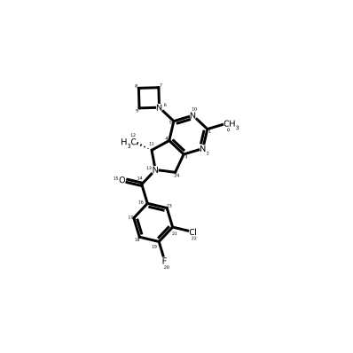 Cc1nc2c(c(N3CCC3)n1)[C@@H](C)N(C(=O)c1ccc(F)c(Cl)c1)C2